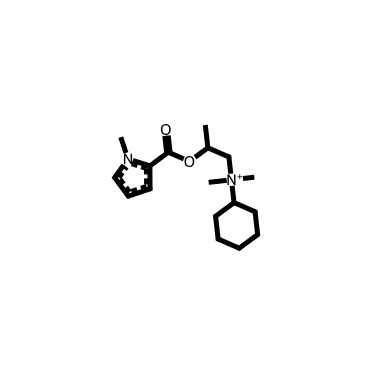 CC(C[N+](C)(C)C1CCCCC1)OC(=O)c1cccn1C